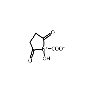 O=C([O-])[N+]1(O)C(=O)CCC1=O